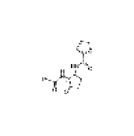 CC(C)C(=O)N[C@@H]1C(=O)CCC1NC(=O)c1cccs1